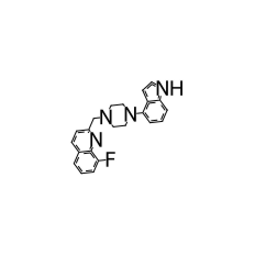 Fc1cccc2ccc(CN3CCN(c4cccc5[nH]ccc45)CC3)nc12